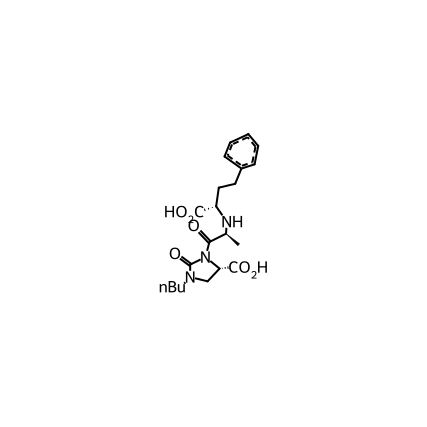 CCCCN1C[C@@H](C(=O)O)N(C(=O)[C@H](C)N[C@@H](CCc2ccccc2)C(=O)O)C1=O